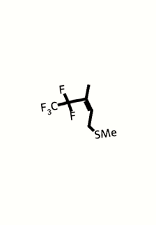 CSCC=C(C)C(F)(F)C(F)(F)F